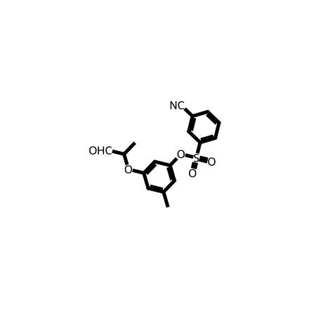 Cc1cc(OC(C)C=O)cc(OS(=O)(=O)c2cccc(C#N)c2)c1